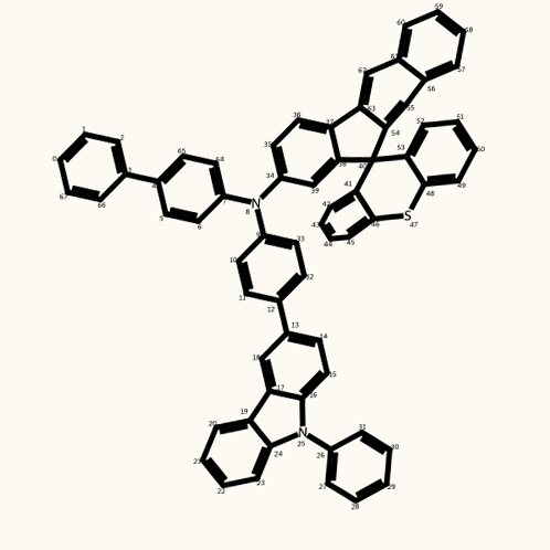 c1ccc(-c2ccc(N(c3ccc(-c4ccc5c(c4)c4ccccc4n5-c4ccccc4)cc3)c3ccc4c(c3)C3(c5ccccc5Sc5ccccc53)c3cc5ccccc5cc3-4)cc2)cc1